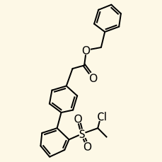 CC(Cl)S(=O)(=O)c1ccccc1-c1ccc(CC(=O)OCc2ccccc2)cc1